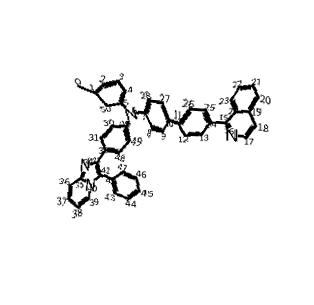 CC1C=CC=C(N(c2ccc(-c3ccc(-c4nccc5ccccc45)cc3)cc2)c2ccc(-c3nc4ccccn4c3-c3ccccc3)cc2)C1